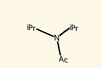 [CH2]C(=O)N(C(C)C)C(C)C